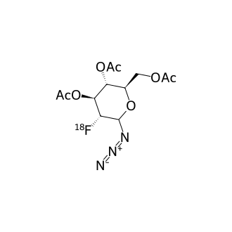 CC(=O)OC[C@H]1OC(N=[N+]=[N-])[C@H]([18F])[C@@H](OC(C)=O)[C@@H]1OC(C)=O